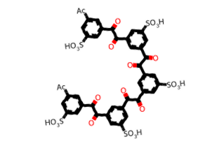 CC(=O)c1cc(C(=O)C(=O)c2cc(C(=O)C(=O)c3cc(C(=O)C(=O)c4cc(C(=O)C(=O)c5cc(C(C)=O)cc(S(=O)(=O)O)c5)cc(S(=O)(=O)O)c4)cc(S(=O)(=O)O)c3)cc(S(=O)(=O)O)c2)cc(S(=O)(=O)O)c1